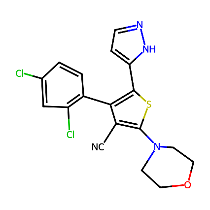 N#Cc1c(N2CCOCC2)sc(-c2ccn[nH]2)c1-c1ccc(Cl)cc1Cl